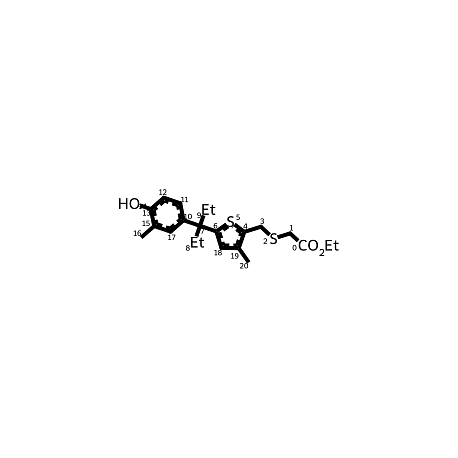 CCOC(=O)CSCc1sc(C(CC)(CC)c2ccc(O)c(C)c2)cc1C